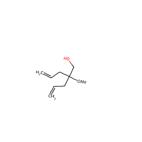 C=CCC(CO)(CC=C)OC